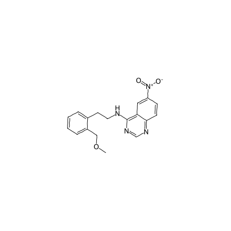 COCc1ccccc1CCNc1ncnc2ccc([N+](=O)[O-])cc12